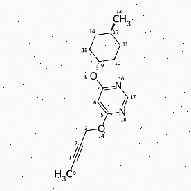 CC#CCOc1cc(O[C@H]2CC[C@H](C)CC2)ncn1